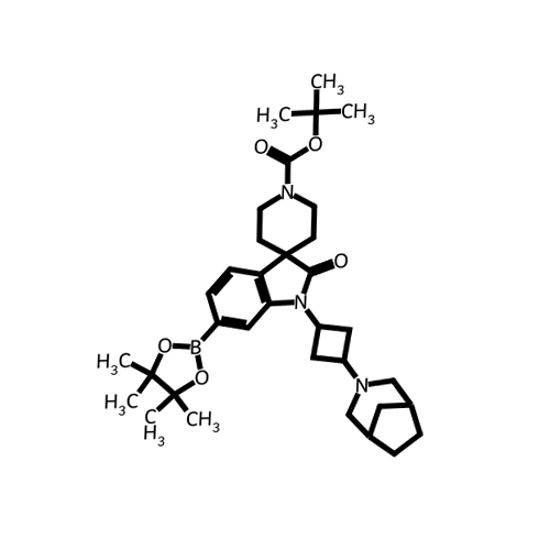 CC(C)(C)OC(=O)N1CCC2(CC1)C(=O)N(C1CC(N3CC4CCC(C4)C3)C1)c1cc(B3OC(C)(C)C(C)(C)O3)ccc12